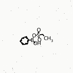 CCS(=O)(=O)OB(O)c1ccccc1